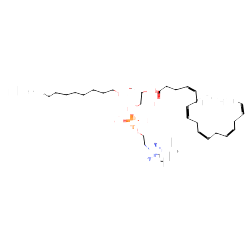 CCCCC/C=C\C/C=C\C/C=C\C/C=C\C/C=C\CCC(=O)O[C@H](COCCCCCCCCCCCCCCCCCC)COP(=O)([O-])OCC[N+](C)(C)C